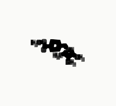 COC(=O)c1ccc(Cn2nc(C)c(N)c2C)cc1